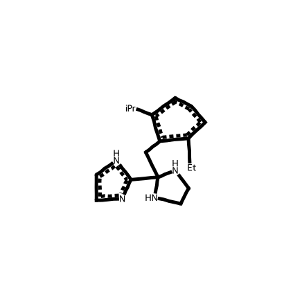 CCc1cccc(C(C)C)c1CC1(c2ncc[nH]2)NCCN1